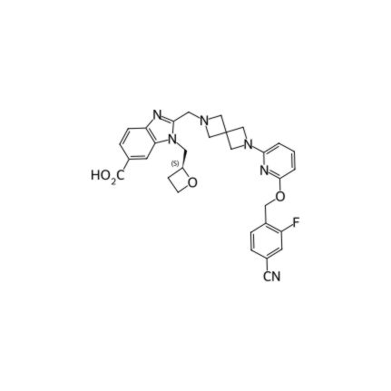 N#Cc1ccc(COc2cccc(N3CC4(CN(Cc5nc6ccc(C(=O)O)cc6n5C[C@@H]5CCO5)C4)C3)n2)c(F)c1